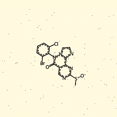 C[S+]([O-])c1ncc2c(=O)n(-c3c(Cl)cccc3Br)n3ccnc3c2n1